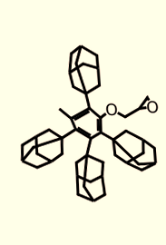 Cc1c(C23CC4CC(CC(C4)C2)C3)c(OCC2CO2)c(C23CC4CC(CC(C4)C2)C3)c(C23CC4CC(CC(C4)C2)C3)c1C12CC3CC(CC(C3)C1)C2